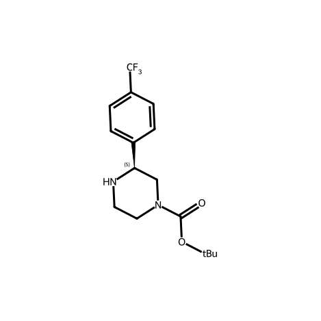 CC(C)(C)OC(=O)N1CCN[C@@H](c2ccc(C(F)(F)F)cc2)C1